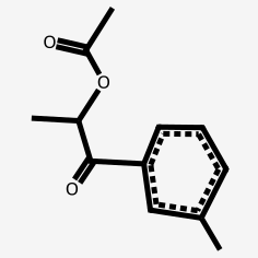 CC(=O)OC(C)C(=O)c1cccc(C)c1